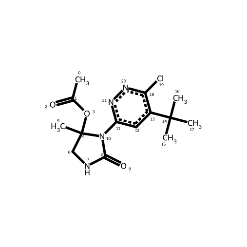 CC(=O)OC1(C)CNC(=O)N1c1cc(C(C)(C)C)c(Cl)nn1